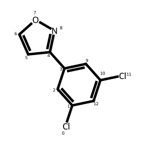 Clc1[c]c(-c2ccon2)cc(Cl)c1